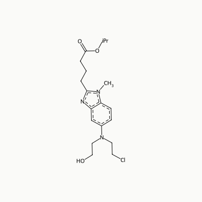 CC(C)OC(=O)CCCc1nc2cc(N(CCO)CCCl)ccc2n1C